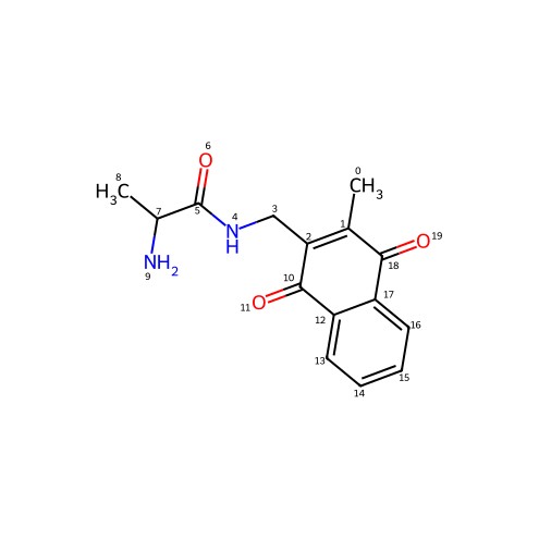 CC1=C(CNC(=O)C(C)N)C(=O)c2ccccc2C1=O